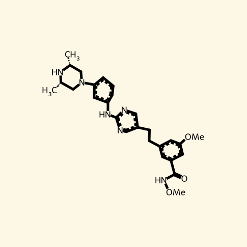 CONC(=O)c1cc(CCc2cnc(Nc3cccc(N4C[C@@H](C)N[C@@H](C)C4)c3)nc2)cc(OC)c1